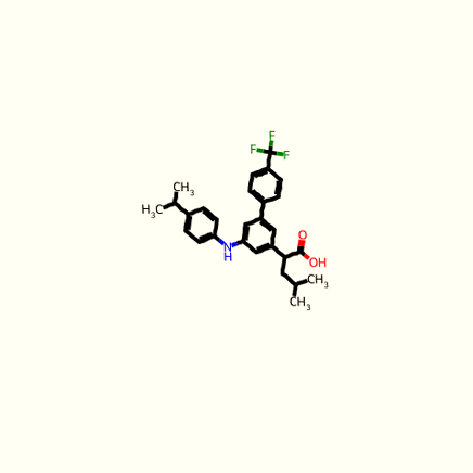 CC(C)CC(C(=O)O)c1cc(Nc2ccc(C(C)C)cc2)cc(-c2ccc(C(F)(F)F)cc2)c1